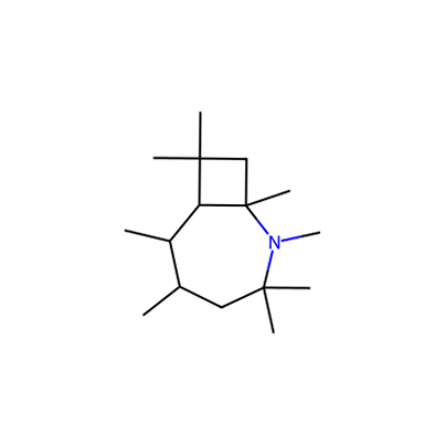 CC1CC(C)(C)N(C)C2(C)CC(C)(C)C2C1C